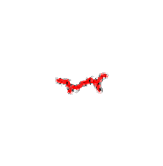 C1=CC2Oc3cc(N(c4ccccc4)c4ccc5c(c4)sc4ccc6c7cc8ccccc8cc7oc6c45)ccc3C2C=C1c1ccc2cc3c(cc2c1)oc1c3ccc2sc3cc(N(c4ccc(-c5ccccc5)cc4)c4ccc(-c5ccc6ccccc6c5)cc4)ccc3c21